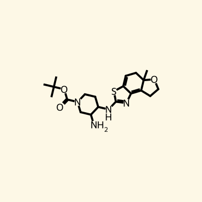 CC(C)(C)OC(=O)N1CCC(Nc2nc3c(s2)=CCC2(C)OCCC=32)C(N)C1